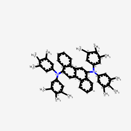 Cc1cc(N(c2cc(C)c(C)c(C)c2)c2cc3c4ccccc4c(N(c4cc(C)c(C)c(C)c4)c4cc(C)c(C)c(C)c4)cc3c3ccccc23)cc(C)c1C